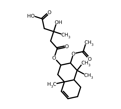 CC(=O)OC1C(OC(=O)CC(C)(O)CC(=O)O)CC2(C)C=CCCC2C1(C)C